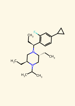 CC[C@H]1CN([C@@H](CC)c2ccc(C3CC3)cc2F)[C@H](CC)CN1C(C)C